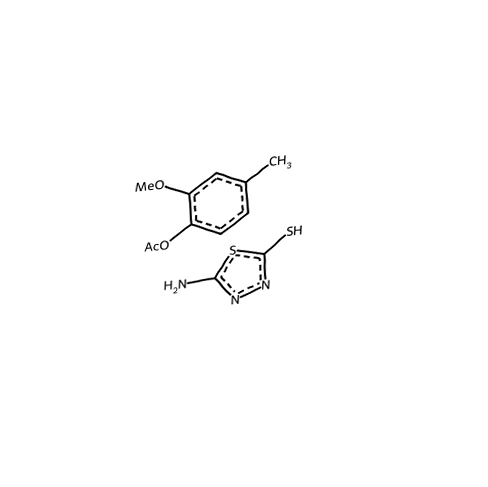 COc1cc(C)ccc1OC(C)=O.Nc1nnc(S)s1